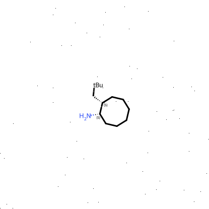 CC(C)(C)C[C@@H]1CCCCCC[C@@H]1N